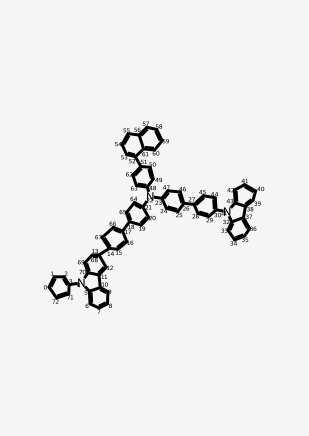 c1ccc(-n2c3ccccc3c3cc(-c4ccc(-c5ccc(N(c6ccc(-c7ccc(-n8c9ccccc9c9ccccc98)cc7)cc6)c6ccc(-c7cccc8ccccc78)cc6)cc5)cc4)ccc32)cc1